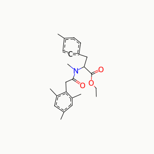 CCOC(=O)C(Cc1ccc(C)cc1)N(C)C(=O)Cc1c(C)cc(C)cc1C